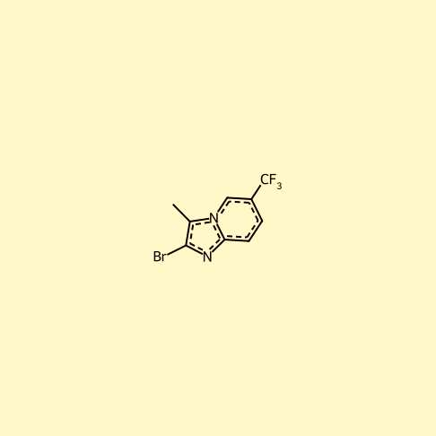 Cc1c(Br)nc2ccc(C(F)(F)F)cn12